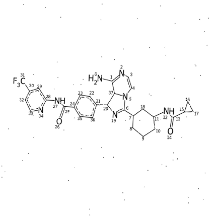 NC1=NC=CN2C(C3CCCC(NC(=O)C4CC4)C3)=NC(c3ccc(C(=O)Nc4cc(C(F)(F)F)ccn4)cc3)C12